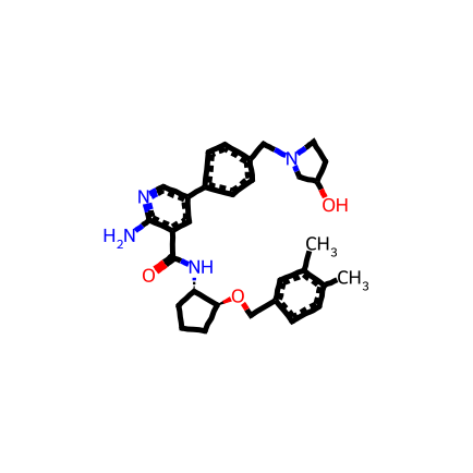 Cc1ccc(CO[C@H]2CCC[C@@H]2NC(=O)c2cc(-c3ccc(CN4CCC(O)C4)cc3)cnc2N)cc1C